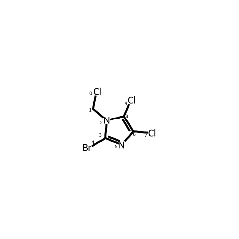 ClCn1c(Br)nc(Cl)c1Cl